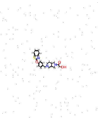 O=C(CO)N1CC2CCN(Cc3ccc(Oc4nc5ccccc5s4)cc3)CC2C1